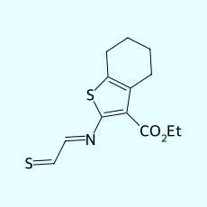 CCOC(=O)c1c(N=CC=S)sc2c1CCCC2